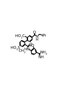 CC(C)CNC(=O)c1ccc(-c2ccccc2C(=O)Nc2ccc(C(=N)N)cc2O)c(C(=O)O)c1.CS(=O)(=O)O